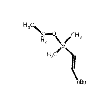 CCCCC=C[Si](C)(C)O[SiH2]C